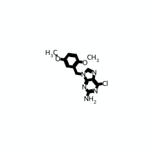 COc1ccc(OC)c(Cn2cnc3c(Cl)nc(N)nc32)c1